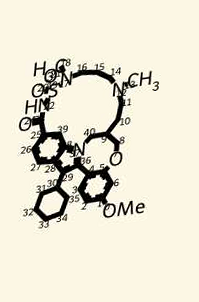 COc1ccc2c(c1)OCC1CCN(C)CCCN(C)S(=O)(=O)NC(=O)c3ccc4c(C5CCCCC5)c-2n(c4c3)C1